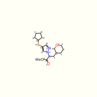 COC(=O)C(CC1CCCOC1)n1cc(SC2CCCC2)cn1